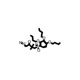 CCCCOc1ccc(S(=O)(=O)CC(C)(C)C(=O)C=[N+]=[N-])c(OCCCC)c1OCCCC